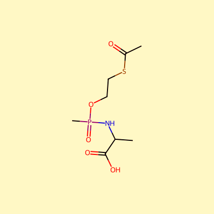 CC(=O)SCCOP(C)(=O)NC(C)C(=O)O